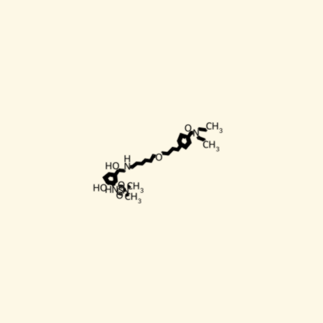 CCCN(CCC)C(=O)c1ccc(CCCCOCCCCCCNCC(O)c2ccc(O)c(NS(=O)(=O)N(C)C)c2)cc1